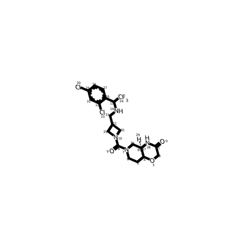 O=C1COC2CCN(C(=O)N3CC(CNC(c4ccc(Cl)cc4Cl)C(F)(F)F)C3)C[C@H]2N1